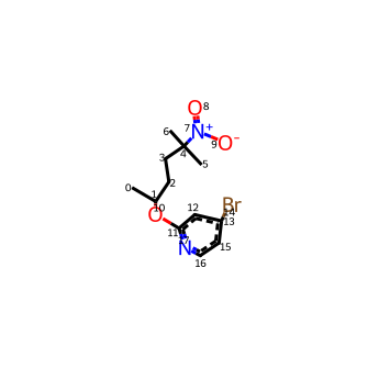 CC(CCC(C)(C)[N+](=O)[O-])Oc1cc(Br)ccn1